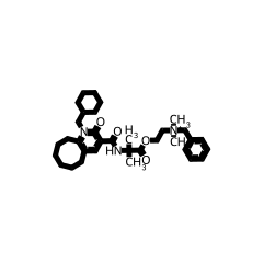 CC(C)(NC(=O)c1cc2c(n(CC3CCCCC3)c1=O)CCCCCC2)C(=O)OCC[N+](C)(C)Cc1ccccc1